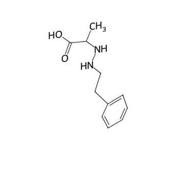 CC(NNCCc1ccccc1)C(=O)O